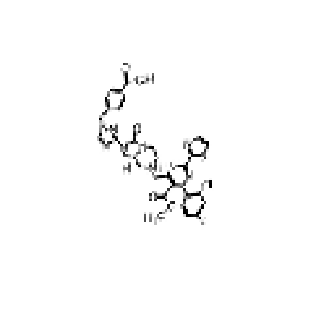 COC(=O)C1=C(CN2CCN3C(=O)N(c4ncn(Cc5ccc(C(=O)O)cc5)n4)C[C@@H]3C2)NC(c2nccs2)=N[C@H]1c1ccc(F)cc1Cl